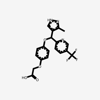 Cc1n[nH]cc1C(Oc1ccc(OCC(=O)O)cc1)c1ccc(C(F)(F)F)cn1